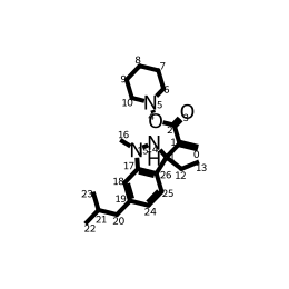 C=C(C(=O)ON1CCCCC1)C1(CC)NN(C)c2cc(CC(C)C)ccc21